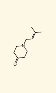 CC(C)=CCN1CCC(=O)CC1